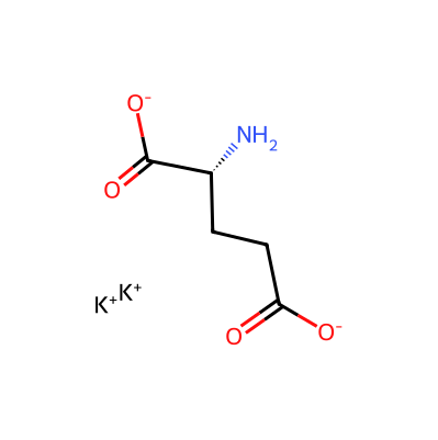 N[C@H](CCC(=O)[O-])C(=O)[O-].[K+].[K+]